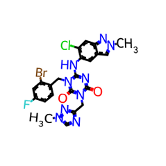 Cn1cnc(Cn2c(=O)nc(Nc3cc4cn(C)nc4cc3Cl)n(Cc3ccc(F)cc3Br)c2=O)n1